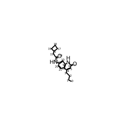 CCCCc1cc(=O)[nH]c2cc(NC(=O)CC3CCC3)ccc12